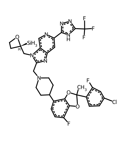 CC1(c2ccc(Cl)cc2F)Oc2c(F)ccc(C3CCN(Cc4nc5cc(-c6nnc(C(F)(F)F)[nH]6)ncc5n4C[C@]4([SiH3])CCO4)CC3)c2O1